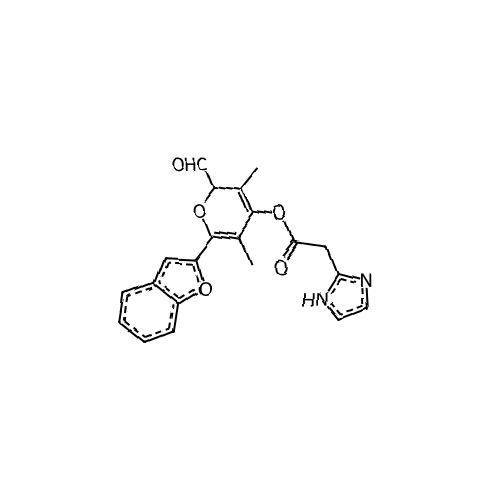 CC1=C(c2cc3ccccc3o2)OC(C=O)C(C)=C1OC(=O)Cc1ncc[nH]1